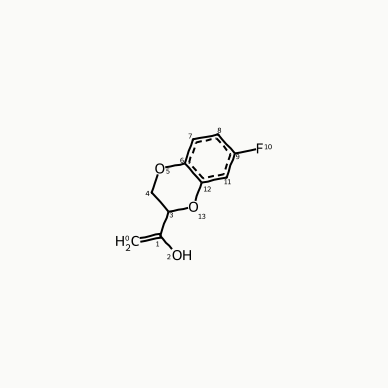 C=C(O)C1COc2ccc(F)cc2O1